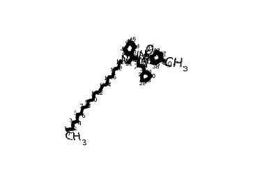 CCCCCCCCCCCCCCCCCCCCn1cc(C(CCc2ccccc2)NS(=O)(=O)c2ccc(C)cc2)c2ccccc21